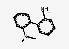 CN(C)c1ccccc1-c1ccccc1N